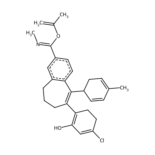 C=C(C)O/C(=N\C)c1ccc2c(c1)CCCC(C1=C(O)C=C(Cl)CC1)=C2C1C=CC(C)=CC1